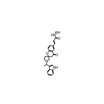 CC(c1c[nH]c2ccccc12)N1CCC2(CC(=O)c3cc(/C=C/C(=O)NO)ccc3O2)C1